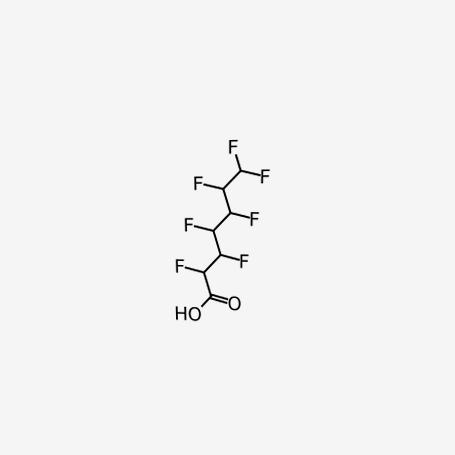 O=C(O)C(F)C(F)C(F)C(F)C(F)C(F)F